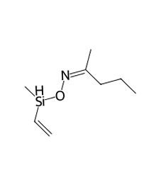 C=C[SiH](C)ON=C(C)CCC